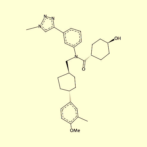 COc1ccc([C@H]2CC[C@H](CN(c3cccc(-c4cn(C)nn4)c3)C(=O)[C@H]3CC[C@H](O)CC3)CC2)cc1C